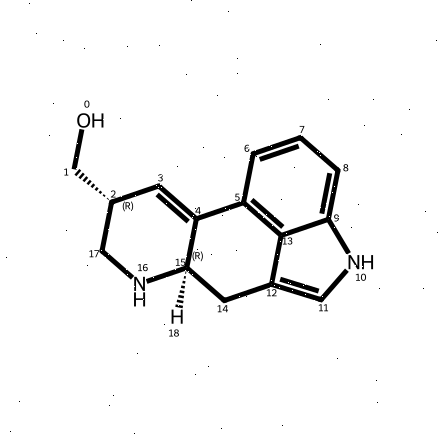 OC[C@@H]1C=C2c3cccc4[nH]cc(c34)C[C@H]2NC1